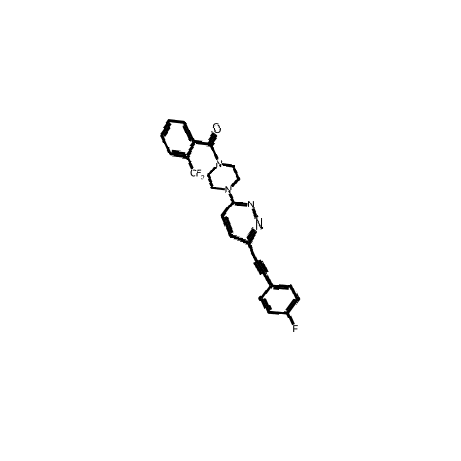 O=C(c1ccccc1C(F)(F)F)N1CCN(c2ccc(C#Cc3ccc(F)cc3)nn2)CC1